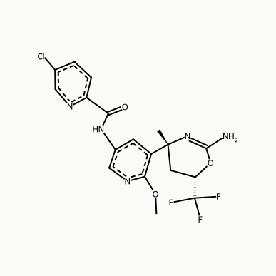 COc1ncc(NC(=O)c2ccc(Cl)cn2)cc1[C@@]1(C)C[C@@H](C(F)(F)F)OC(N)=N1